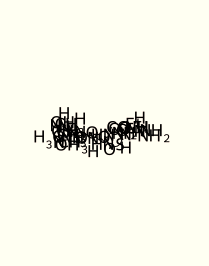 CCNC(=O)[C@H](CCCNC(=N)N)NC(=O)[C@@H]1CCSCCC(=O)N[C@@H](CCCCNC(=O)CCC(=O)NCCN(CCNC(C)(C)/C(C)=N\O)CCNC(C)(C)/C(C)=N\O)C(=O)N[C@@H](CC(=O)O)C(=O)N1